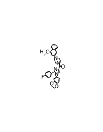 Cc1cc(N2CCN(C(=O)c3cn(-c4ccc5c(c4)OCCO5)c(-c4ccc(F)cc4)n3)CC2)cc2ccccc12